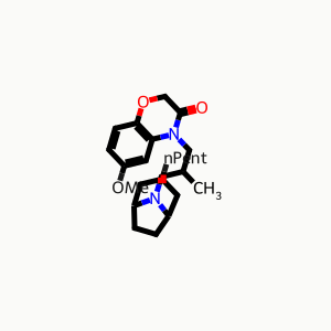 CCCCCC1CC2CCC(C1)N2CC(C)CN1C(=O)COc2ccc(OC)cc21